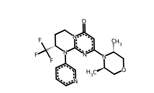 C[C@@H]1COC[C@@H](C)N1c1cc(=O)n2c(n1)N(c1cccnc1)[C@H](C(F)(F)F)CC2